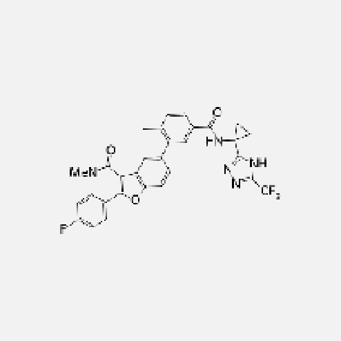 CNC(=O)c1c(-c2ccc(F)cc2)oc2ccc(-c3cc(C(=O)NC4(c5nnc(C(F)(F)F)[nH]5)CC4)ccc3C)cc12